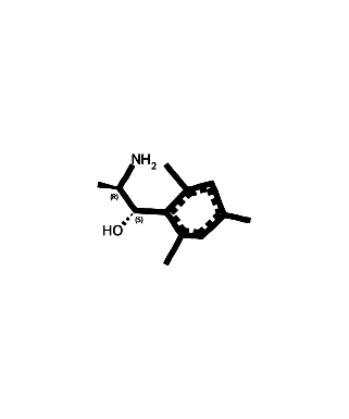 Cc1cc(C)c([C@H](O)[C@@H](C)N)c(C)c1